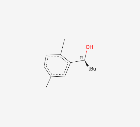 Cc1ccc(C)c([C@@H](O)C(C)(C)C)c1